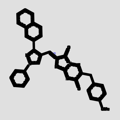 COc1ccc(Cc2nn3c(=O)/c(=C/c4cn(-c5ccccc5)nc4-c4ccc5ccccc5c4)sc3nc2=O)cc1